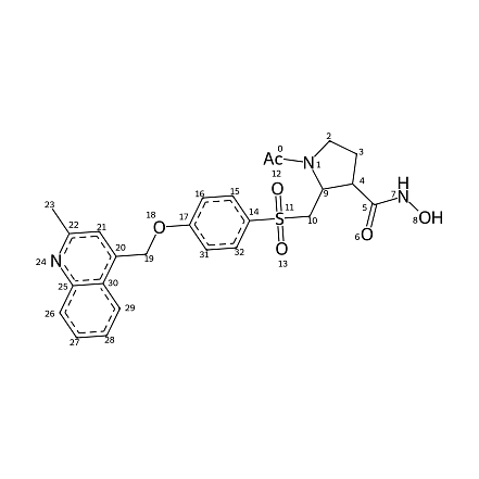 CC(=O)N1CCC(C(=O)NO)C1CS(=O)(=O)c1ccc(OCc2cc(C)nc3ccccc23)cc1